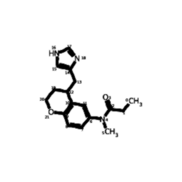 CCC(=O)N(C)c1ccc2c(c1)C(Cc1c[nH]cn1)CCO2